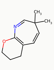 CC1(C)C=CC2=C(N=C1)OCCC2